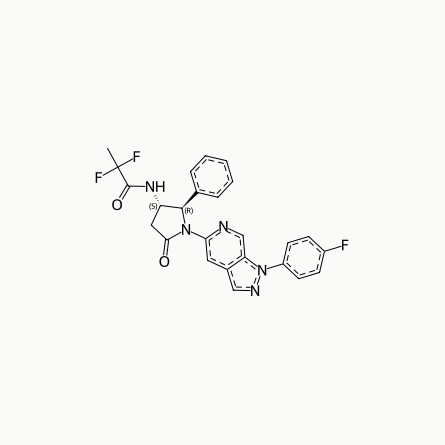 CC(F)(F)C(=O)N[C@H]1CC(=O)N(c2cc3cnn(-c4ccc(F)cc4)c3cn2)[C@@H]1c1ccccc1